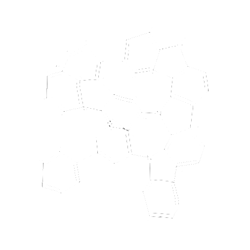 c1ccc(-c2cccc(-n3c4ccccc4c4ccc5c6ccc7oc8ccccc8c7c6n(-c6ccc7c(c6)-c6cccc8cccc-7c68)c5c43)c2)cc1